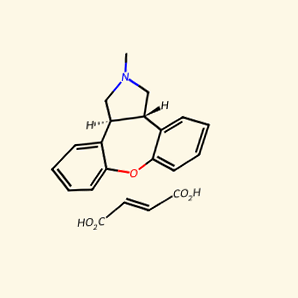 CN1C[C@@H]2c3ccccc3Oc3ccccc3[C@H]2C1.O=C(O)/C=C/C(=O)O